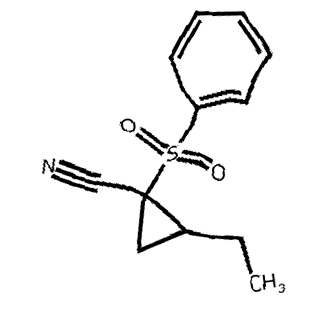 CCC1CC1(C#N)S(=O)(=O)c1ccccc1